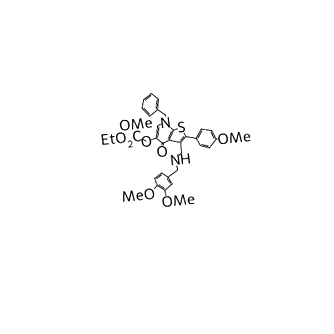 CCOC(=O)Oc1cn(Cc2ccccc2OC)c2sc(-c3ccc(OC)cc3)c(CNCc3ccc(OC)c(OC)c3)c2c1=O